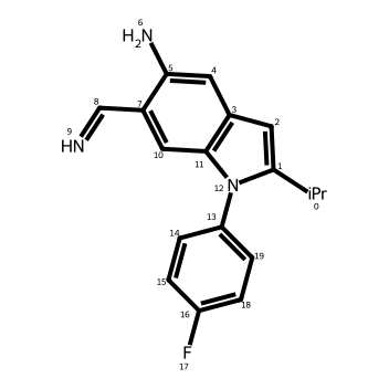 CC(C)c1cc2cc(N)c(C=N)cc2n1-c1ccc(F)cc1